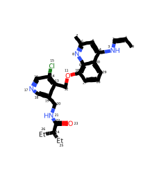 C/C=C\Nc1cc(C)nc2c(OCc3c(Cl)cncc3CNC(=O)C(CC)CC)cccc12